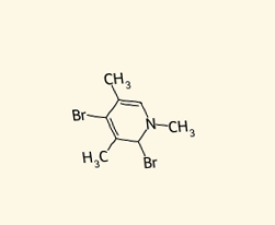 CC1=CN(C)C(Br)C(C)=C1Br